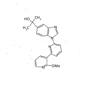 COc1ncccc1-c1cccc(-n2cnc3cc(C(C)(C)O)ccc32)n1